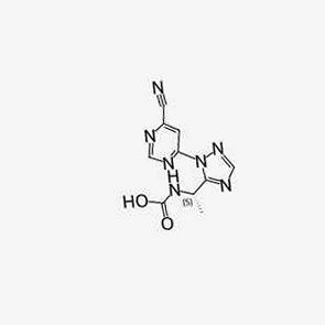 C[C@H](NC(=O)O)c1ncnn1-c1cc(C#N)ncn1